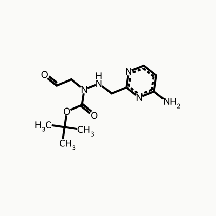 CC(C)(C)OC(=O)N(CC=O)NCc1nccc(N)n1